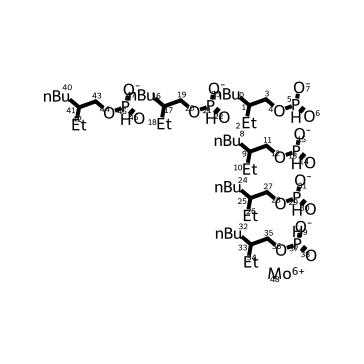 CCCCC(CC)CO[PH](=O)[O-].CCCCC(CC)CO[PH](=O)[O-].CCCCC(CC)CO[PH](=O)[O-].CCCCC(CC)CO[PH](=O)[O-].CCCCC(CC)CO[PH](=O)[O-].CCCCC(CC)CO[PH](=O)[O-].[Mo+6]